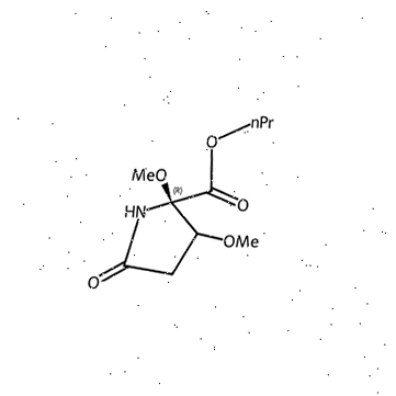 CCCOC(=O)[C@@]1(OC)NC(=O)CC1OC